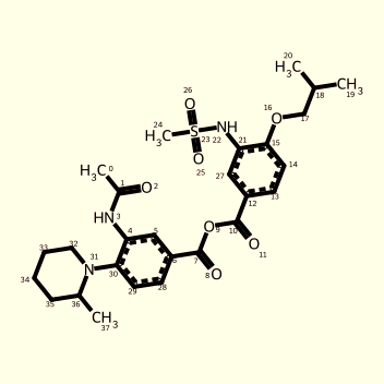 CC(=O)Nc1cc(C(=O)OC(=O)c2ccc(OCC(C)C)c(NS(C)(=O)=O)c2)ccc1N1CCCCC1C